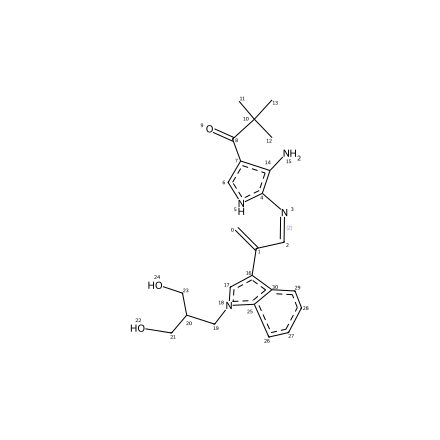 C=C(/C=N\c1[nH]cc(C(=O)C(C)(C)C)c1N)c1cn(CC(CO)CO)c2ccccc12